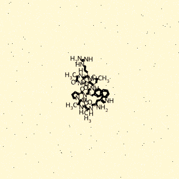 CC(C)C[C@H](NC(=O)[C@H](Cc1ccccc1)NC(=O)[C@@H]1CCCN1C(=O)[C@H](C)NC(=O)[C@H](C)NC(=O)[C@@H](N)Cc1c[nH]c2ccccc12)C(=O)N[C@@H](CCCNC(=N)N)C(=O)N[C@@H](C)C(N)=O